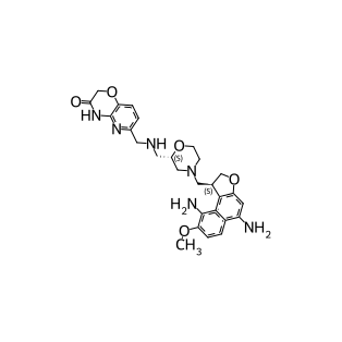 COc1ccc2c(N)cc3c(c2c1N)[C@@H](CN1CCO[C@@H](CNCc2ccc4c(n2)NC(=O)CO4)C1)CO3